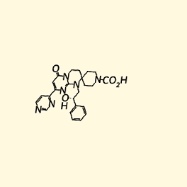 O=C(O)N1CCC2(CC1)CCn1c(nc(-c3ccncn3)cc1=O)N2C[C@@H](O)c1ccccc1